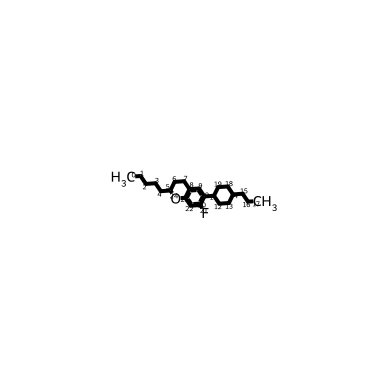 CCCCCC1CCc2cc(C3CCC(CCC)CC3)c(F)cc2O1